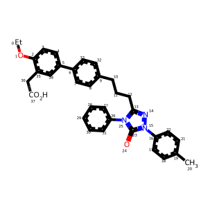 CCOc1ccc(-c2ccc(CCCc3nn(-c4ccc(C)cc4)c(=O)n3-c3ccccc3)cc2)cc1CC(=O)O